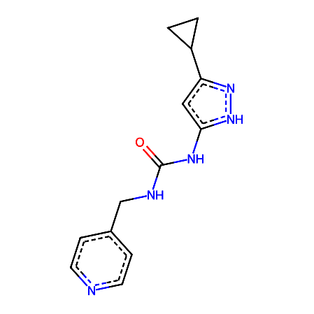 O=C(NCc1ccncc1)Nc1cc(C2CC2)n[nH]1